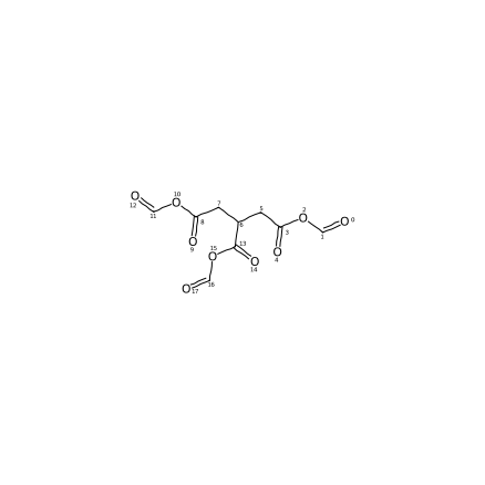 O=COC(=O)CC(CC(=O)OC=O)C(=O)OC=O